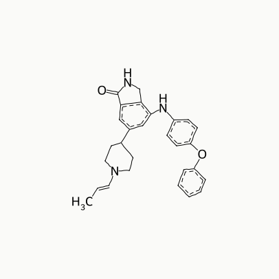 CC=CN1CCC(c2cc(Nc3ccc(Oc4ccccc4)cc3)c3c(c2)C(=O)NC3)CC1